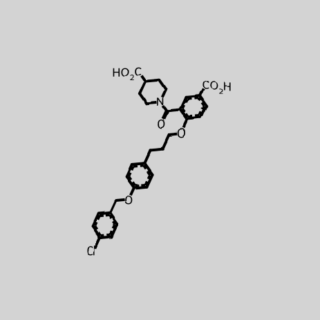 O=C(O)c1ccc(OCCCc2ccc(OCc3ccc(Cl)cc3)cc2)c(C(=O)N2CCC(C(=O)O)CC2)c1